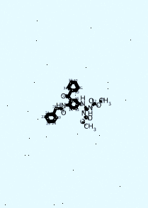 COC(=O)N=C(NC(=O)OC)Nc1ccc(NC(=O)Cc2ccccc2)c(C(=O)c2ccccc2)c1